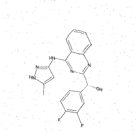 Cc1cc(Nc2nc([C@H](O)c3ccc(F)c(F)c3)nc3ccccc23)n[nH]1